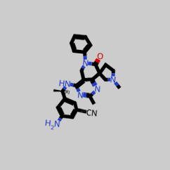 Cc1nc(N[C@H](C)c2cc(N)cc(C#N)c2)c2c(n1)C1(CCN(C)C1)C(=O)N(c1ccccc1)C2